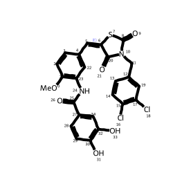 COc1ccc(/C=C2/SC(=O)N(Cc3ccc(Cl)c(Cl)c3)C2=O)cc1NC(=O)c1ccc(O)c(O)c1